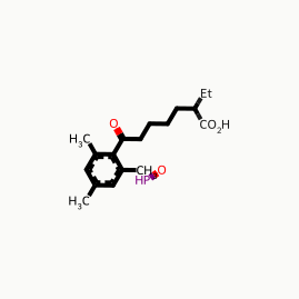 CCC(CCCCC(=O)c1c(C)cc(C)cc1C)C(=O)O.O=P